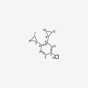 Clc1ccc(C2CC2)c(C2CC2)c1